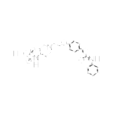 CS(=O)(=O)NC1CCN(CCOc2ccc(OC(=O)Nc3ccccc3)cc2)CC1